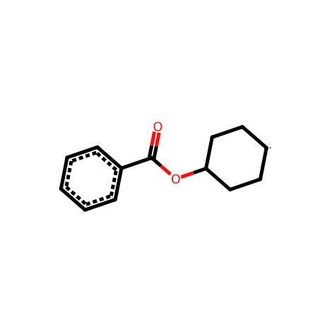 O=C(OC1CC[CH]CC1)c1ccccc1